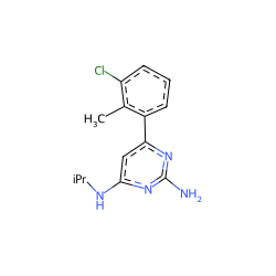 Cc1c(Cl)cccc1-c1cc(NC(C)C)nc(N)n1